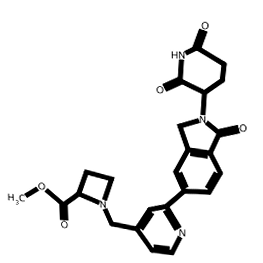 COC(=O)C1CCN1Cc1ccnc(-c2ccc3c(c2)CN(C2CCC(=O)NC2=O)C3=O)c1